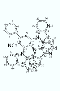 N#Cc1c(-c2ccccc2)cc(-n2c3ccccc3c3ncccc32)c(-n2c3ccccc3c3ncccc32)c1-n1c2ccccc2c2ncccc21